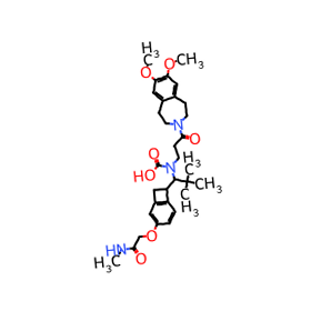 CNC(=O)COc1ccc2c(c1)CC2C(N(CCC(=O)N1CCc2cc(OC)c(OC)cc2CC1)C(=O)O)C(C)(C)C